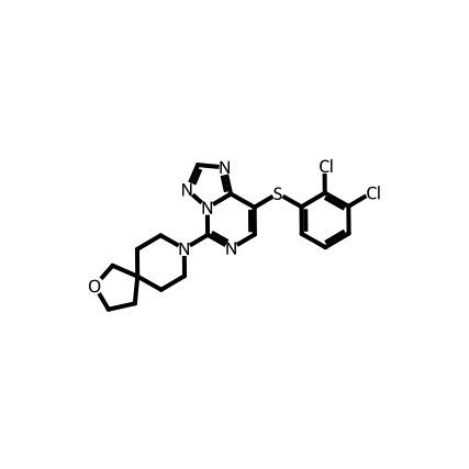 Clc1cccc(Sc2cnc(N3CCC4(CCOC4)CC3)n3ncnc23)c1Cl